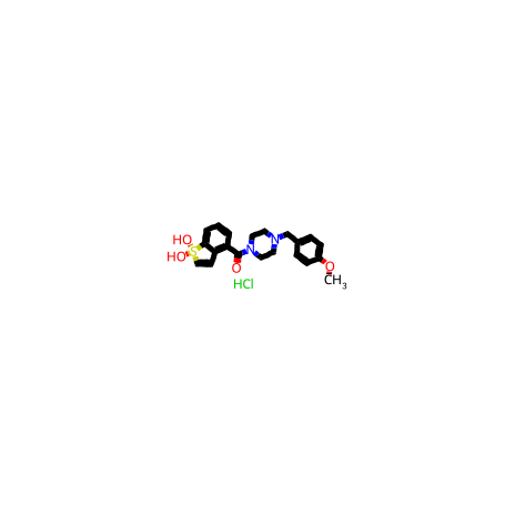 COc1ccc(CN2CCN(C(=O)c3cccc4c3C=CS4(O)O)CC2)cc1.Cl